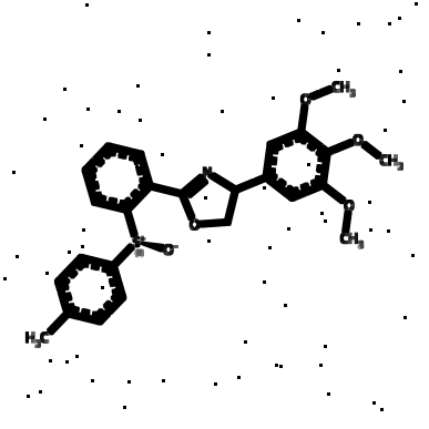 COc1cc(C2COC(c3ccccc3[S@@+]([O-])c3ccc(C)cc3)=N2)cc(OC)c1OC